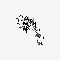 CC(=O)N[C@H]1[C@H](O[C@H]2[C@H](O[C@H](C)C(=O)N[C@@H](C)C(=O)NCCCC(=O)N[C@@H](CCCCN)C(=O)O)[C@@H](NC(C)=O)[C@@H](OP(=O)(O)OP(=O)(O)OCCC(C)CCCC(C)CCCC(C)CCCC(C)C)O[C@@H]2CO)O[C@H](CO)[C@@H](O)[C@@H]1O